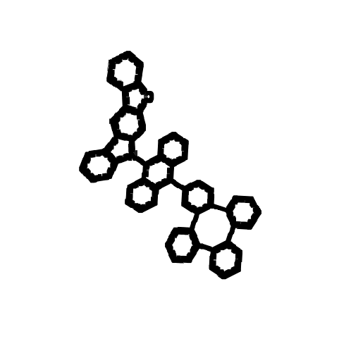 c1ccc2c(c1)-c1ccccc1-c1ccc(-c3c4ccccc4c(-n4c5ccccc5c5cc6c(cc54)oc4ccccc46)c4ccccc34)cc1-c1ccccc1-2